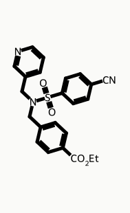 CCOC(=O)c1ccc(CN(Cc2cccnc2)S(=O)(=O)c2ccc(C#N)cc2)cc1